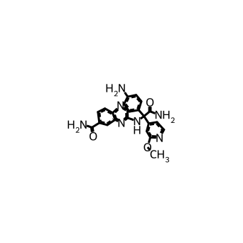 COc1cc(C(Nc2cnc3ccc(C(N)=O)cc3n2)(C(N)=O)c2ccc(N)cc2)ccn1